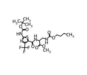 CCCCOC(=O)NCC(NC(=O)c1sc(NC(=O)OC(C)(C)C)nc1C(F)(F)F)C(=O)OC